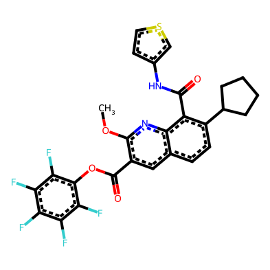 COc1nc2c(C(=O)Nc3ccsc3)c(C3CCCC3)ccc2cc1C(=O)Oc1c(F)c(F)c(F)c(F)c1F